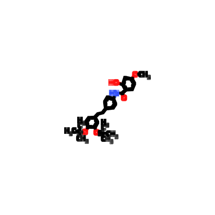 COc1ccc(C(=O)Nc2ccc(CCc3ccc(O[Si](C)(C)C)c(O[Si](C)(C)C)c3)cc2)c(O)c1